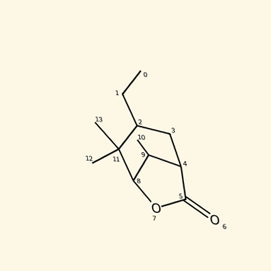 CCC1CC2C(=O)OC(C2C)C1(C)C